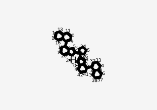 [CH3][Hf]1([CH3])[CH]2C(=Cc3c(-c4cccc5ccccc45)cccc32)C2(CCCC2)C2=Cc3c(-c4cccc5ccccc45)cccc3[CH]21